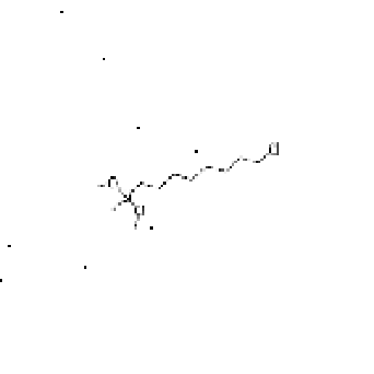 CO[Si](C)(CCCCCCCCCl)OC